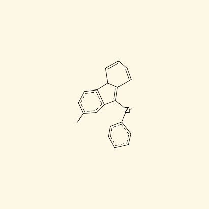 Cc1ccc2c(c1)[C]([Zr][c]1ccccc1)=C1C=CC=CC12